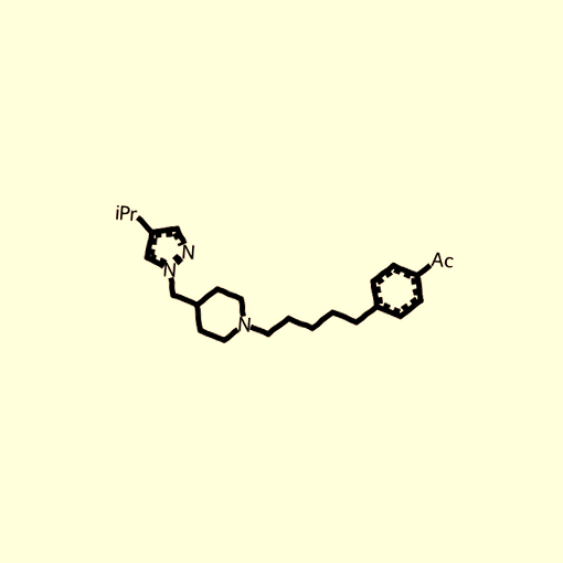 CC(=O)c1ccc(CCCCCN2CCC(Cn3cc(C(C)C)cn3)CC2)cc1